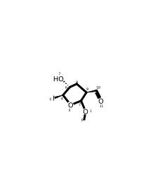 COC1O[C@@H](I)[C@H](O)C[C@H]1C=O